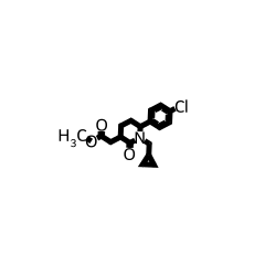 COC(=O)CC1CCC(c2ccc(Cl)cc2)N(CC2CC2)C1=O